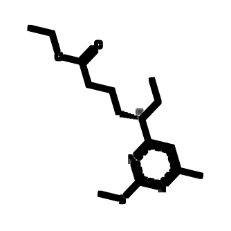 CCOC(=O)CCC[C@H](CC)c1cc(C)nc(SC)n1